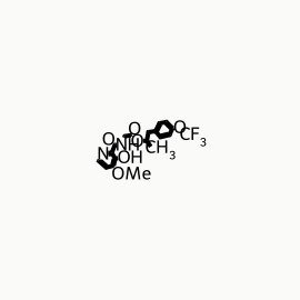 COc1ccnc(C(=O)NCC(=O)OC(C)Cc2ccc(OC(F)(F)F)cc2)c1O